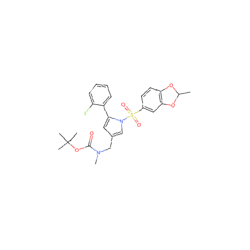 CC1Oc2ccc(S(=O)(=O)n3cc(CN(C)C(=O)OC(C)(C)C)cc3-c3ccccc3F)cc2O1